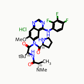 CN[C@@H](C)C(=O)N[C@H](C(=O)N(C(=O)[C@@H]1CCCN1)c1cc2c(Nc3ccc(F)c(F)c3F)ncnc2cc1OC)C(C)(C)C.Cl